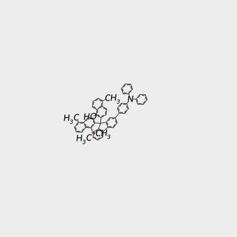 Cc1cccc2c(O)c(C3(c4ccc5c(C)cccc5c4C(C)C)c4ccccc4-c4ccc(-c5ccc(N(c6ccccc6)c6ccccc6)cc5)cc43)ccc12